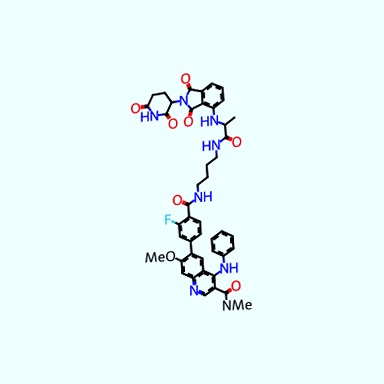 CNC(=O)c1cnc2cc(OC)c(-c3ccc(C(=O)NCCCCNC(=O)C(C)Nc4cccc5c4C(=O)N(C4CCC(=O)NC4=O)C5=O)c(F)c3)cc2c1Nc1ccccc1